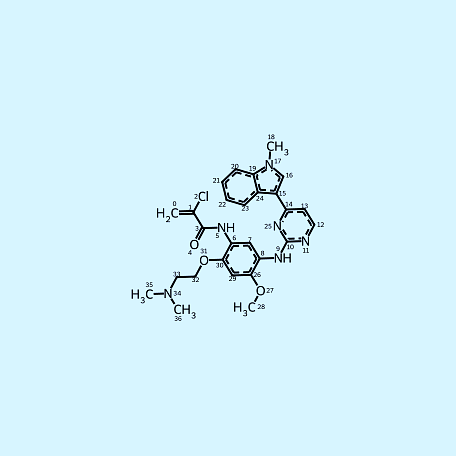 C=C(Cl)C(=O)Nc1cc(Nc2nccc(-c3cn(C)c4ccccc34)n2)c(OC)cc1OCCN(C)C